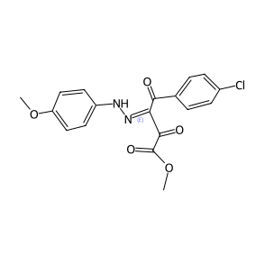 COC(=O)C(=O)/C(=N/Nc1ccc(OC)cc1)C(=O)c1ccc(Cl)cc1